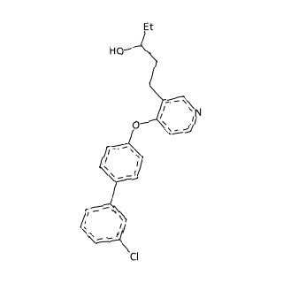 CCC(O)CCc1cnccc1Oc1ccc(-c2cccc(Cl)c2)cc1